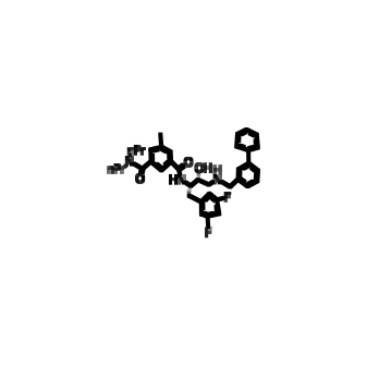 CCCN(CCC)C(=O)c1cc(C)cc(C(=O)N[C@@H](Cc2cc(F)cc(F)c2)[C@H](O)CNCc2cccc(-c3ccccc3)c2)c1